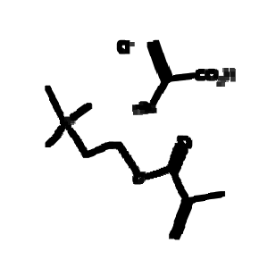 C=C(C)C(=O)OCC[N+](C)(C)C.C=C(CCCC)C(=O)O.[Cl-]